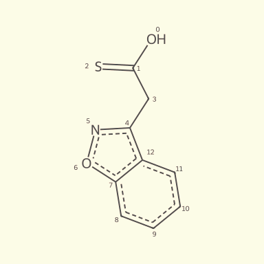 OC(=S)Cc1noc2ccccc12